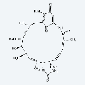 CO[C@@H]1C=CC=C(C)C(=O)NC2=CC(=O)C(N)=C(C[C@@H](C)C[C@@H](OC)[C@H](O)[C@H](C)C=C(C)[C@H]1OC(N)=O)C2=O